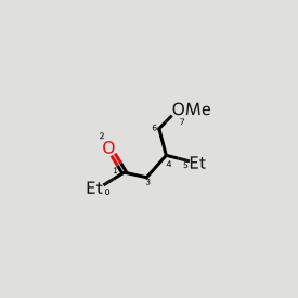 CCC(=O)CC(CC)COC